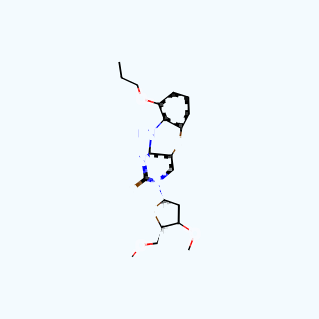 CCCOc1cccc2c1Nc1nc(=S)n([C@H]3CC(OC)[C@@H](COC)S3)cc1S2